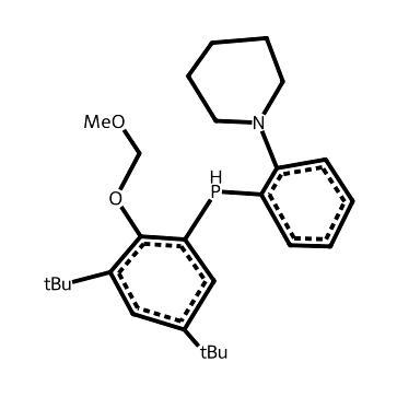 COCOc1c(Pc2ccccc2N2CCCCC2)cc(C(C)(C)C)cc1C(C)(C)C